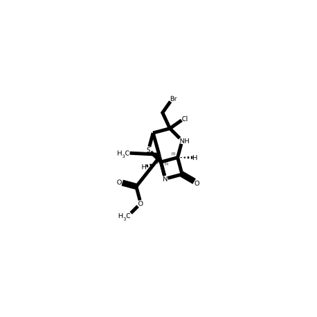 COC(=O)C1=C(C)C2S[C@H]3[C@@H](NC2(Cl)CBr)C(=O)N13